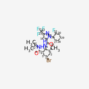 Cc1cc(Br)cc(C(=O)NC(C)C)c1NC(=O)c1cc(C(F)(F)F)nn1-c1ccccc1F